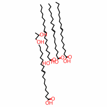 CC(O)CO.CCCCCCCCC=CCCCCCCCC(=O)O.CCCCCCCCC=CCCCCCCCC(=O)O.CCCCCCCCC=CCCCCCCCC(=O)O.CCCCCCCCC=CCCCCCCCC(=O)O